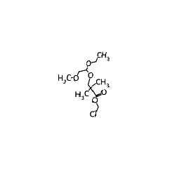 CCOC(COC)OCC(C)(C)C(=O)OCCl